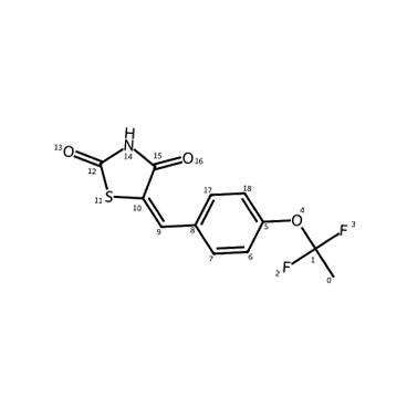 CC(F)(F)Oc1ccc(C=C2SC(=O)NC2=O)cc1